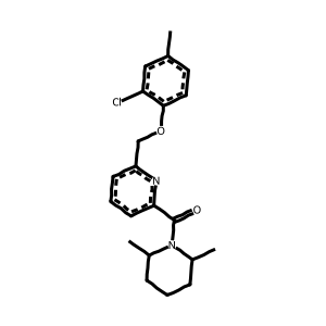 Cc1ccc(OCc2cccc(C(=O)N3C(C)CCCC3C)n2)c(Cl)c1